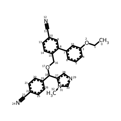 CCOc1cccc(-c2cc(C#N)ccc2COC(c2ccc(C#N)cc2)c2cncn2C)c1